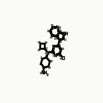 NC1CCC(N(c2nc(Cl)cc(-c3c[nH]c4ncccc34)n2)C2CCC2)CC1